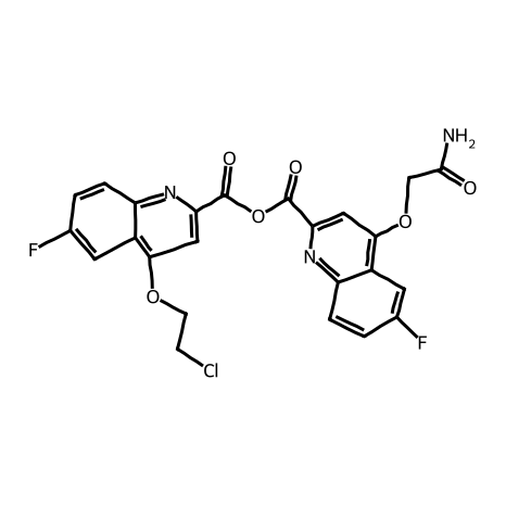 NC(=O)COc1cc(C(=O)OC(=O)c2cc(OCCCl)c3cc(F)ccc3n2)nc2ccc(F)cc12